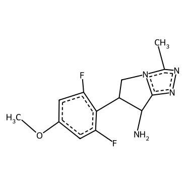 COc1cc(F)c(C2Cn3c(C)nnc3C2N)c(F)c1